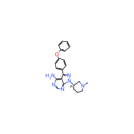 CN1CCC[C@@H](n2nc(-c3ccc(Oc4ccccc4)cc3)c3c(N)ncnc32)C1